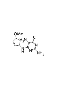 COC1C=CC(Nc2nc(N)nc(Cl)c2N)C1